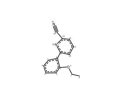 CCOc1ccccc1-c1[c]ccc(C#N)n1